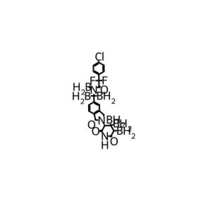 BC1C(=O)NC(=O)C(N2Cc3cc(C(B)(B)N(B)C(=O)C(F)(F)c4ccc(Cl)cc4)ccc3C2=O)C1(B)B